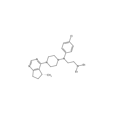 CCN(CC)CCN(c1ccc(Cl)cc1)N1CCN(c2ncnc3c2[C@H](C)CC3)CC1